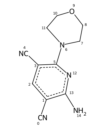 N#Cc1cc(C#N)c(N2CCOCC2)nc1N